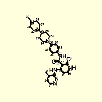 Cc1ccnnc1Nc1cc[nH]c(=O)c1C(=O)Nc1ccc(N2CCC(N3CCN(C)CC3)CC2)cc1